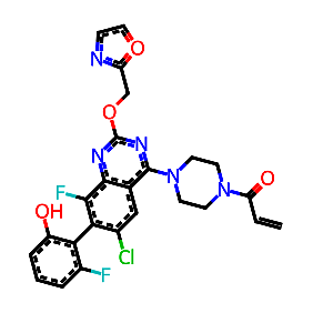 C=CC(=O)N1CCN(c2nc(OCc3ncco3)nc3c(F)c(-c4c(O)cccc4F)c(Cl)cc23)CC1